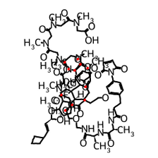 C[C@H](NC(=O)CCc1ccc(N2C(=O)C=CC2=O)cc1OCCCC(=O)N(C)CC(=O)N(C)CC(=O)N(C)CC(=O)N(C)CC(=O)N(C)CC(=O)N(C)CC(=O)N(C)CC(=O)N(C)CC(=O)N(C)CC(=O)N(C)CC(=O)O)C(=O)N[C@@H](C)C(=O)NCOCC(=O)[C@@]12O[C@H](/C=C/C3CCC3)O[C@@H]1C[C@H]1[C@@H]3CCC4=CC(=O)C=C[C@]4(C)[C@@]3(F)[C@@H](O)C[C@@]12C